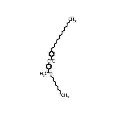 CCCCCCCCCCCCCCCc1ccc(C(=O)Oc2ccc(C(C)OCCCCCCCCCC)cc2)cc1